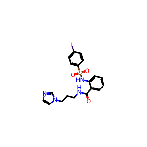 O=C(NCCCn1ccnc1)c1ccccc1NS(=O)(=O)c1ccc(I)cc1